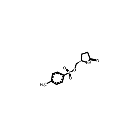 Cc1ccc(S(=O)(=O)OC[C@H]2CCC(=O)N2)cc1